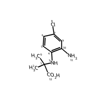 CC(C)(Nc1ccc(Cl)cc1N)C(=O)O